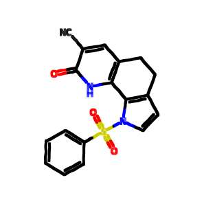 N#Cc1cc2c([nH]c1=O)-c1c(ccn1S(=O)(=O)c1ccccc1)CC2